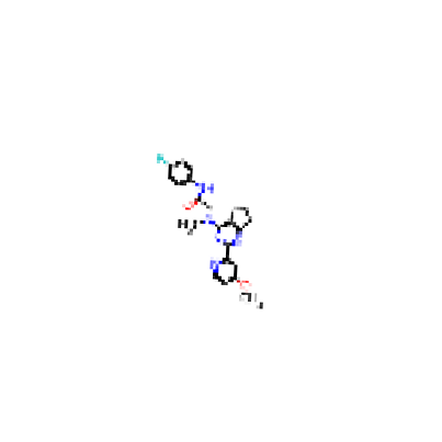 COc1ccnc(-c2nc3c(c(N(C)CC(=O)Nc4ccc(F)cc4)n2)CCC3)c1